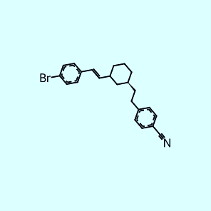 N#Cc1ccc(CC[C@@H]2CCCC(/C=C/c3ccc(Br)cc3)C2)cc1